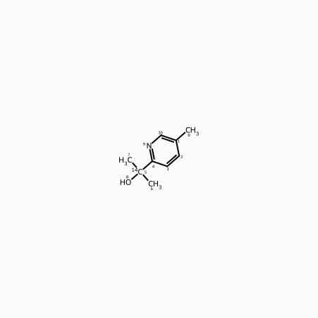 Cc1ccc([14C](C)(C)O)nc1